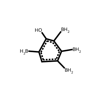 Bc1cc(B)c(O)c(B)c1B